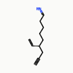 C#CCC(C=C)CCCCC=N